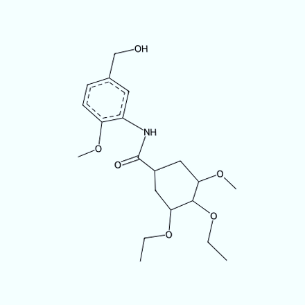 CCOC1CC(C(=O)Nc2cc(CO)ccc2OC)CC(OC)C1OCC